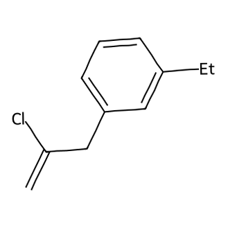 C=C(Cl)Cc1cccc(CC)c1